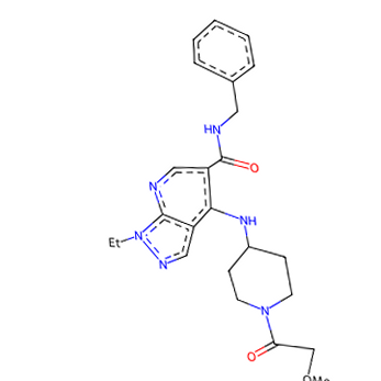 CCn1ncc2c(NC3CCN(C(=O)COC)CC3)c(C(=O)NCc3ccccc3)cnc21